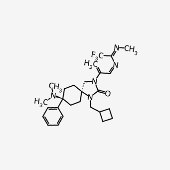 C=C(/C=N\C(=N/C)C(F)(F)F)N1C[C@]2(CC[C@](c3ccccc3)(N(C)C)CC2)N(CC2CCC2)C1=O